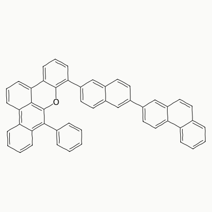 c1ccc(-c2c3c4c(cccc4c4ccccc24)-c2cccc(-c4ccc5cc(-c6ccc7c(ccc8ccccc87)c6)ccc5c4)c2O3)cc1